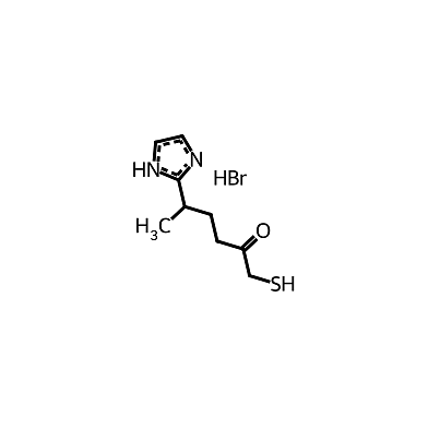 Br.CC(CCC(=O)CS)c1ncc[nH]1